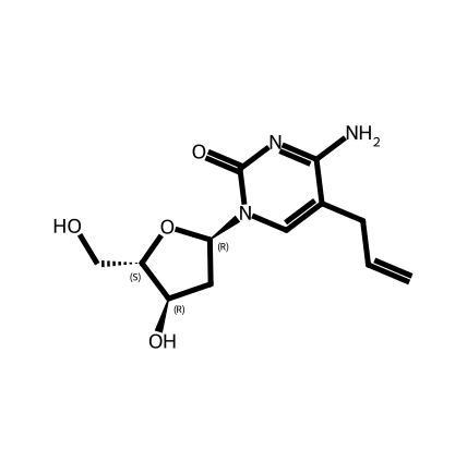 C=CCc1cn([C@H]2C[C@@H](O)[C@H](CO)O2)c(=O)nc1N